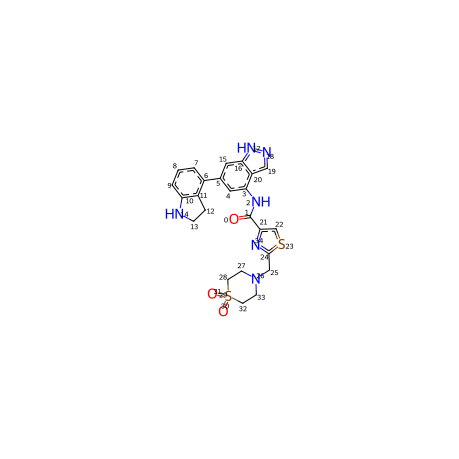 O=C(Nc1cc(-c2cccc3c2CCN3)cc2[nH]ncc12)c1csc(CN2CCS(=O)(=O)CC2)n1